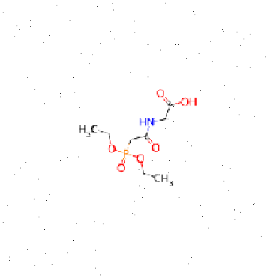 CCOP(=O)(CC(=O)NCC(=O)O)OCC